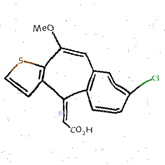 COC1=Cc2cc(Cl)ccc2/C(=C\C(=O)O)c2ccsc21